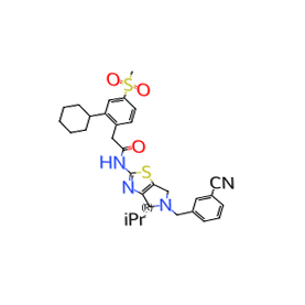 CC(C)[C@@H]1c2nc(NC(=O)Cc3ccc(S(C)(=O)=O)cc3C3CCCCC3)sc2CN1Cc1cccc(C#N)c1